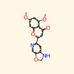 COc1cc(OC)c2c(=O)cc(-c3cc4c(cn3)OCN4)oc2c1